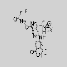 CC[C@H](N[S@@+]([O-])C(C)(C)C)c1cnc(OC2CN(C(=O)[C@@H]3C[C@@H]3F)C2)c2cnc(Nc3ccc4c(n3)[C@@H](C)C(C)(C)OC4=O)cc12